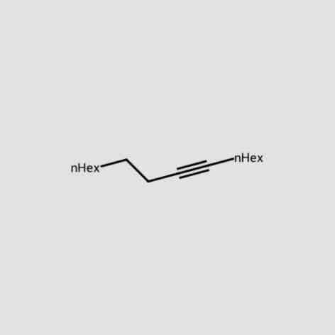 CCCCCCC#CCCCCCCCC